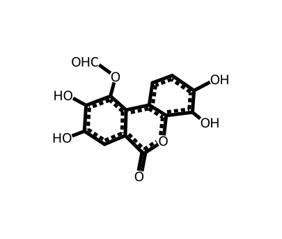 O=COc1c(O)c(O)cc2c(=O)oc3c(O)c(O)ccc3c12